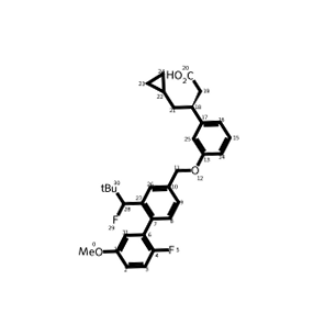 COc1ccc(F)c(-c2ccc(COc3cccc([C@H](CC(=O)O)CC4CC4)c3)cc2C(F)C(C)(C)C)c1